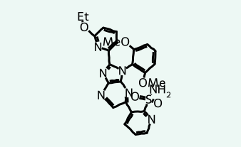 CCOc1cccc(-c2nc3ncc(-c4cccnc4S(N)(=O)=O)nc3n2-c2c(OC)cccc2OC)n1